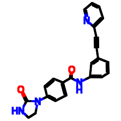 O=C(Nc1cccc(C#Cc2ccccn2)c1)c1ccc(N2CCNC2=O)cc1